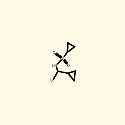 CC(=O)C(NS(=O)(=O)C1CC1)C1CC1